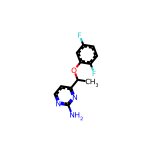 CC(Oc1cc(F)ccc1F)c1ccnc(N)n1